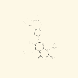 COc1c(F)c(-c2cc3c(s2)CCC(F)(F)C3CN)c(C)c2c1c(=O)[nH]c(=O)n2C1CC1